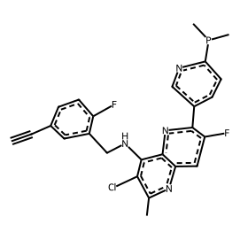 C#Cc1ccc(F)c(CNc2c(Cl)c(C)nc3cc(F)c(-c4ccc(P(C)C)nc4)nc23)c1